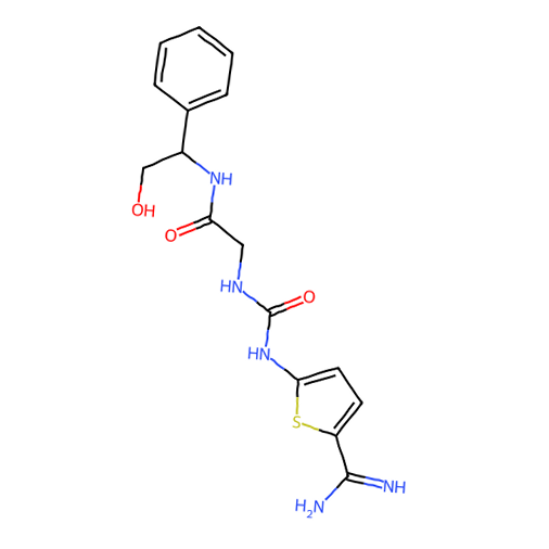 N=C(N)c1ccc(NC(=O)NCC(=O)NC(CO)c2ccccc2)s1